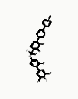 Cc1ccc(-c2ccc(-c3ccc(C(F)(F)Oc4ccc(-c5cc(F)c(F)c(F)c5)c(F)c4)c(F)c3F)cc2)cc1